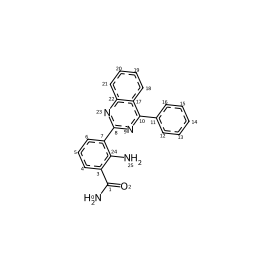 NC(=O)c1cccc(-c2nc(-c3ccccc3)c3ccccc3n2)c1N